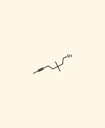 CC#CCCC(C)(C)CCS